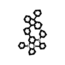 c1ccc(-c2c3ccccc3c(-c3cccc(-c4cc5c6c(c4)N(c4ccccc4)c4ccccc4B6c4ccccc4N5c4ccccc4)c3)c3ccccc23)cc1